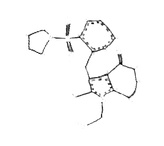 Cc1c(Cc2ccccc2S(=O)(=O)N2CCCC2)c2c(n1CC(=O)O)CCCC2=O